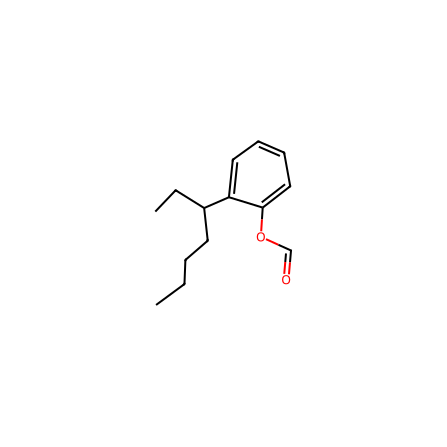 CCCCC(CC)c1ccccc1OC=O